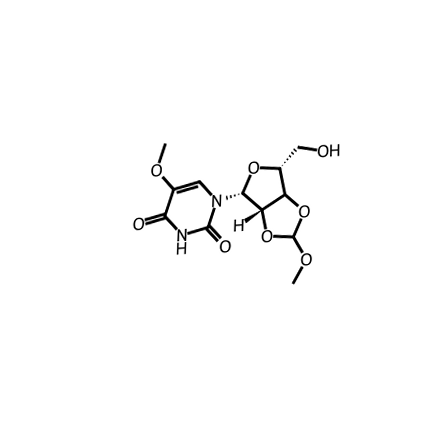 COc1cn([C@@H]2O[C@H](CO)C3OC(OC)O[C@@H]32)c(=O)[nH]c1=O